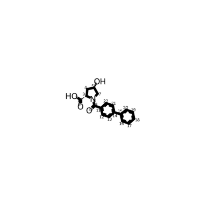 O=C(O)[C@@H]1C[C@@H](O)CN1C(=O)c1ccc(-c2ccccc2)cc1